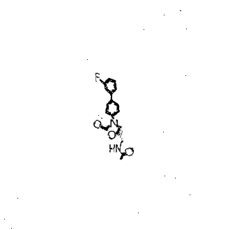 CC(=O)NC[C@H]1CN(c2ccc(-c3cccc(F)c3)cc2)C(=O)O1